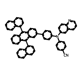 N#Cc1ccc(N(c2ccc(-c3ccc4c(-c5cccc6ccccc56)c5ccccc5c(-c5cccc6ccccc56)c4c3)cc2)c2ccc3ncccc3c2)cc1